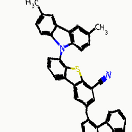 Cc1ccc2c(c1)c1cc(C)ccc1n2-c1cccc2c1sc1c(C#N)cc(-c3cccc4sc5ccccc5c34)cc12